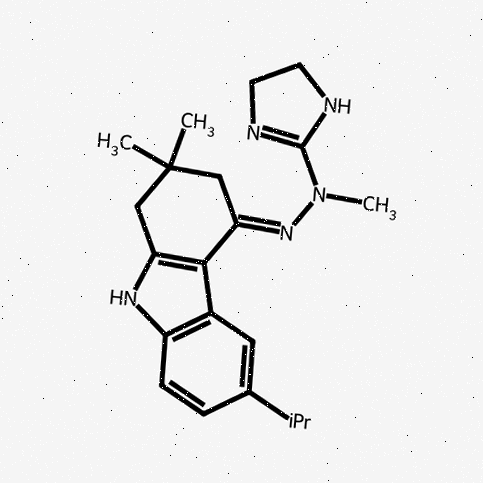 CC(C)c1ccc2[nH]c3c(c2c1)/C(=N/N(C)C1=NCCN1)CC(C)(C)C3